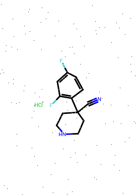 Cl.N#CC1(c2ccc(F)cc2F)CCNCC1